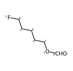 O=[C]OCCCCCF